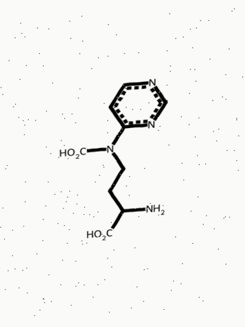 NC(CCN(C(=O)O)c1ccncn1)C(=O)O